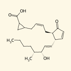 CCCC[C@@H](C)[C@@H](O)/C=C/[C@H]1C=CC(=O)[C@@H]1C/C=C\CC1CC1C(=O)O